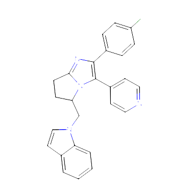 Fc1ccc(-c2nc3n(c2-c2ccncc2)C(Cn2ccc4ccccc42)CC3)cc1